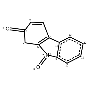 O=C1C=CC2=C(C1)[N+](=O)c1ccccc12